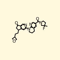 CC1(F)CCN(C(=O)c2cnc3c(c2)CCCN3c2cc3c(cn2)C(=O)CC3CCC2COC2)C1